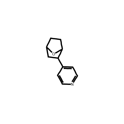 c1cc(C2CC3CCC2O3)ccn1